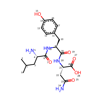 CC(C)C[C@H](N)C(=O)N[C@@H](Cc1ccc(O)cc1)C(=O)N[C@@H](CC(N)=O)C(=O)O